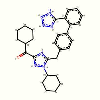 O=C(c1nc(Cc2ccc(-c3ccccc3-c3nnn[nH]3)cc2)n(C2CCCCC2)n1)C1CCCCC1